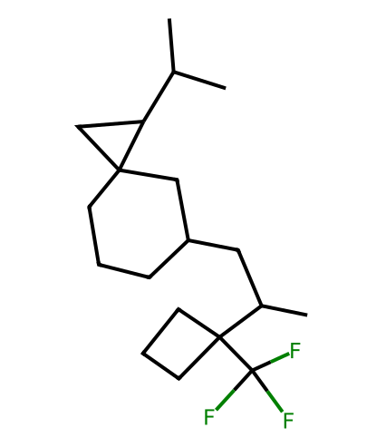 CC(C)C1CC12CCCC(CC(C)C1(C(F)(F)F)CCC1)C2